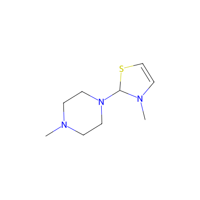 CN1CCN(C2SC=CN2C)CC1